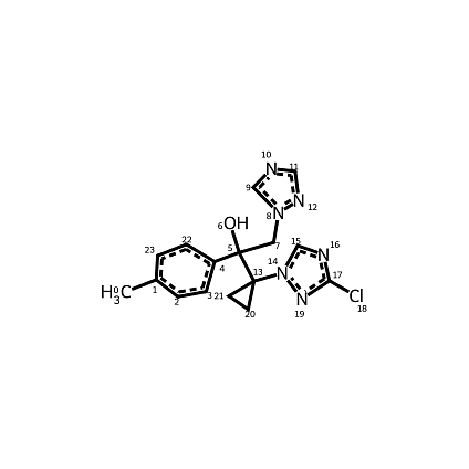 Cc1ccc(C(O)(Cn2cncn2)C2(n3cnc(Cl)n3)CC2)cc1